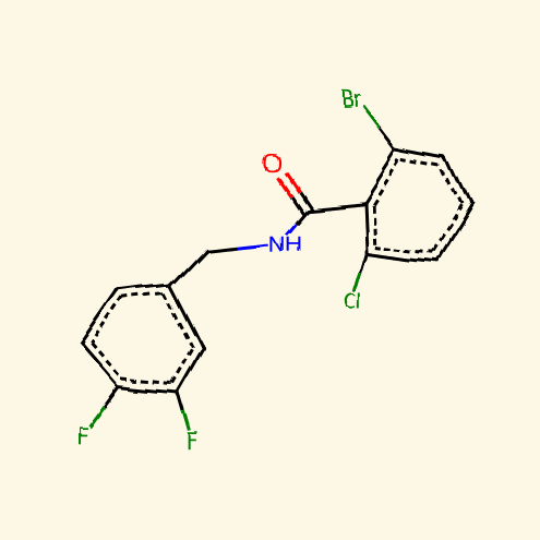 O=C(NCc1ccc(F)c(F)c1)c1c(Cl)cccc1Br